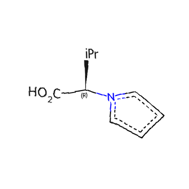 CC(C)[C@H](C(=O)O)n1cccc1